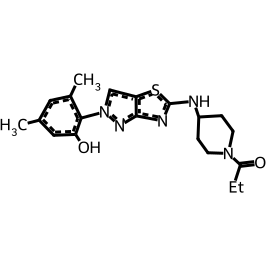 CCC(=O)N1CCC(Nc2nc3nn(-c4c(C)cc(C)cc4O)cc3s2)CC1